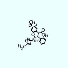 COc1ccc(C(C(=O)O)C(C(=O)Nc2cc(C)on2)c2ccccc2)cc1